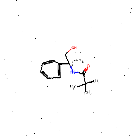 CC(C)(C)C(=O)N[C@](C)(CO)c1ccccc1